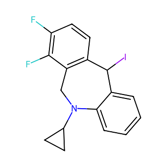 Fc1ccc2c(c1F)CN(C1CC1)c1ccccc1C2I